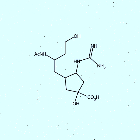 CC(=O)NC(CCO)CC1CC(O)(C(=O)O)CC1NC(=N)N